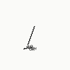 C=CCC(COP(=O)(O)O)CSCCCCCCCCCCCCCCCC